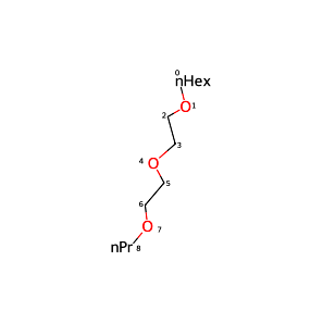 [CH2]CCCCCOCCOCCOCCC